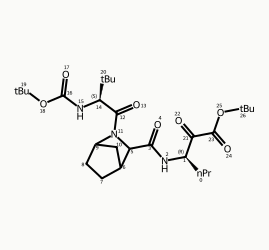 CCC[C@@H](NC(=O)C1C2CCC(C2)N1C(=O)[C@@H](NC(=O)OC(C)(C)C)C(C)(C)C)C(=O)C(=O)OC(C)(C)C